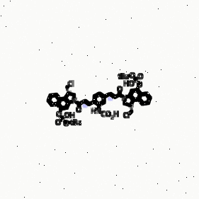 CC(C)(C)OP(=O)(O)Oc1cc2c(c3ccccc13)[C@H](CCl)CN2C(=O)/C=C/c1ccc(/C=C/C(=O)N2C[C@@H](CCl)c3c2cc(OP(=O)(O)OC(C)(C)C)c2ccccc32)c(NC(=O)O)c1